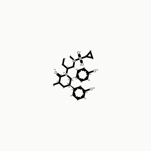 CCC(CN(C)S(=O)(=O)C1CC1)N1C(=O)C(C)C[C@H](c2cccc(Cl)c2)[C@H]1c1ccc(Cl)cc1